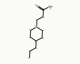 CCCC1CCN(CCC(=O)O)CC1